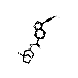 CC#Cc1coc2cc(C(=O)N[C@@H]3C[C@H]4CCN(C4)C3)ccc12